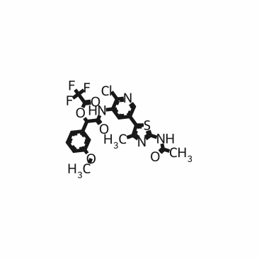 COc1cccc(C(OC(=O)C(F)(F)F)C(=O)Nc2cc(-c3sc(NC(C)=O)nc3C)cnc2Cl)c1